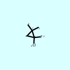 CC1(C)CC1(F)Cl